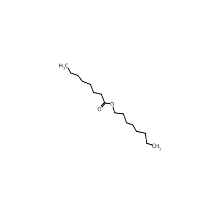 CCCCCCC[CH]OC(=O)CCCCCCC